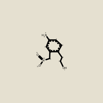 Nc1ccc(CCO)c(C[N+](=O)[O-])c1